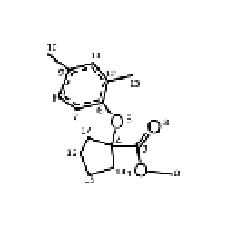 COC(=O)C1(Oc2ccc(C)cc2C)CCCC1